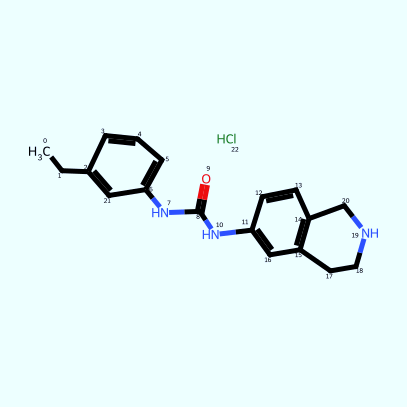 CCc1cccc(NC(=O)Nc2ccc3c(c2)CCNC3)c1.Cl